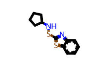 c1ccc2sc(SNC3CCCC3)nc2c1